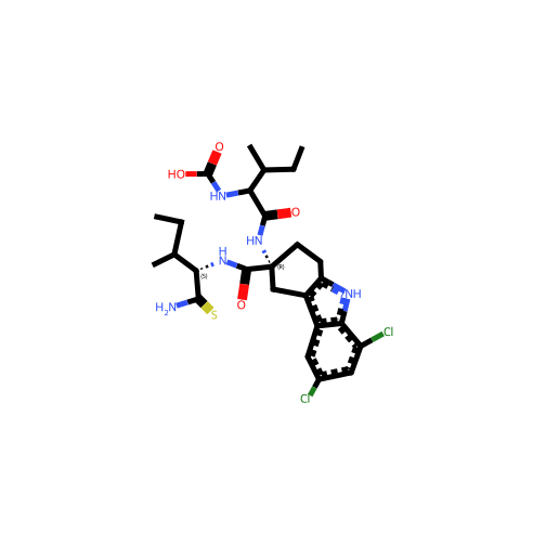 CCC(C)C(NC(=O)O)C(=O)N[C@]1(C(=O)N[C@H](C(N)=S)C(C)CC)CCc2[nH]c3c(Cl)cc(Cl)cc3c2C1